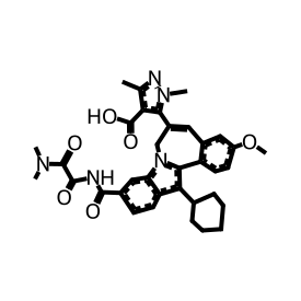 COc1ccc2c(c1)C=C(c1c(C(=O)O)c(C)nn1C)Cn1c-2c(C2CCCCC2)c2ccc(C(=O)NC(=O)C(=O)N(C)C)cc21